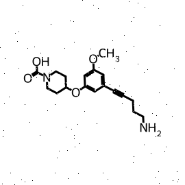 COc1cc(C#CCCCN)cc(OC2CCN(C(=O)O)CC2)c1